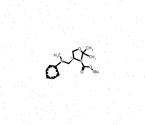 CN(C[C@H]1COC(C)(C)N1C(=O)OC(C)(C)C)c1ccccc1